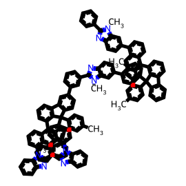 Cc1ccc(C2(c3ccc(C)cc3)c3ccccc3-c3cccc(-c4c5cccc(-c6ccc7nc(-c8ccccc8)n(C)c7c6)c5cc5c(-c6ccc7nc(-c8cccc(-c9ccc%10c(c9)-c9cccc(-c%11c%12cccc(-n%13c(-c%14ccccc%14)nc%14ccccc%14%13)c%12cc%12c(-n%13c(-c%14ccccc%14)nc%14ccccc%14%13)cccc%11%12)c9C%10(c9ccc(C)cc9)c9ccc(C)cc9)c8)n(C)c7c6)cccc45)c32)cc1